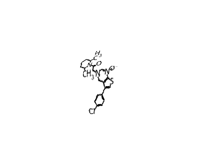 CC1CCCC(C)N1C(=O)CN1C=[N+]([O-])c2scc(-c3ccc(Cl)cc3)c2C1